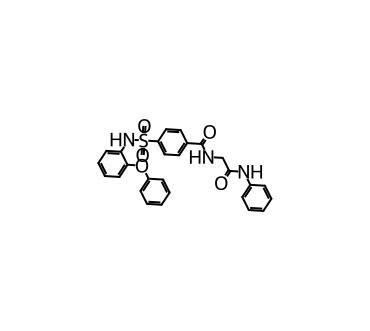 O=C(CNC(=O)c1ccc(S(=O)(=O)Nc2ccccc2Oc2ccccc2)cc1)Nc1ccccc1